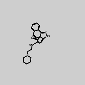 O=C1C(NCCN2CCCCC2)=CC=C2NN=C3c4ccccc4C=CC123